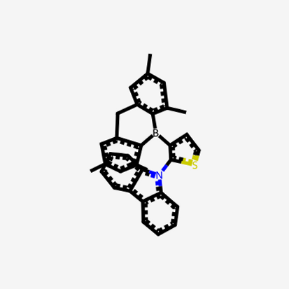 Cc1cc(C)c2c(c1)Cc1cc(C)cc(C)c1B2c1ccsc1-n1c2ccccc2c2ccccc21